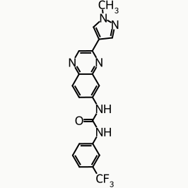 Cn1cc(-c2cnc3ccc(NC(=O)Nc4cccc(C(F)(F)F)c4)cc3n2)cn1